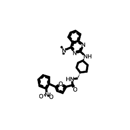 CN(C)c1nc(N[C@H]2CC[C@@H](CNC(=O)c3ccc(-c4ccccc4[N+](=O)[O-])o3)CC2)nc2ccccc12